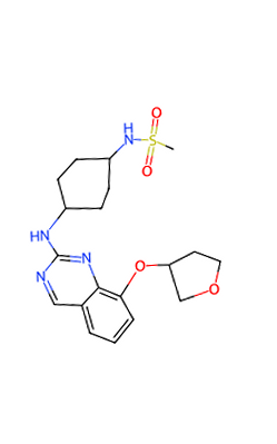 CS(=O)(=O)NC1CCC(Nc2ncc3cccc(OC4CCOC4)c3n2)CC1